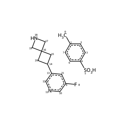 Cc1ccc(S(=O)(=O)O)cc1.Fc1cncc(C2CC3(CNC3)C2)c1